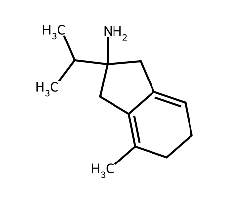 CC1=C2CC(N)(C(C)C)CC2=CCC1